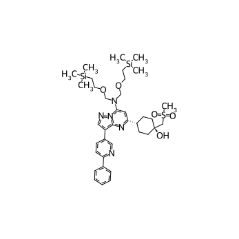 C[Si](C)(C)CCOCN(COCC[Si](C)(C)C)c1cc([C@H]2CC[C@@](O)(CS(C)(=O)=O)CC2)nc2c(-c3ccc(-c4ccccc4)nc3)cnn12